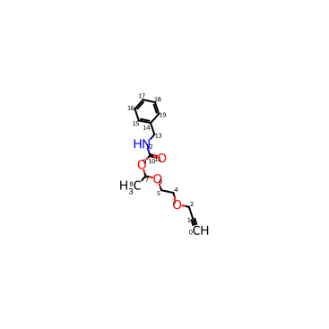 C#CCOCCOC(C)OC(=O)NCc1ccccc1